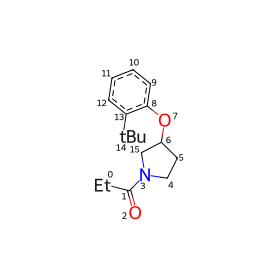 CCC(=O)N1CCC(Oc2ccccc2C(C)(C)C)C1